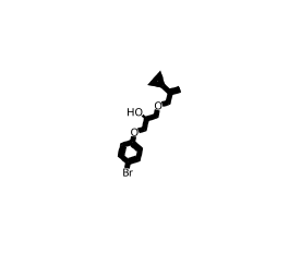 C=C(COC[C@H](O)COc1ccc(Br)cc1)C1CC1